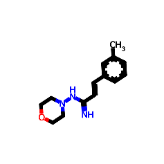 Cc1cccc(/C=C/C(=N)NN2CCOCC2)c1